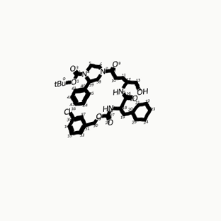 CC(C)(C)OC(=O)N1CCN(C(=O)CCC(CO)NC(=O)C(CC2CCCCC2)NC(=O)OCc2cccc(Cl)c2)CC1c1ccccc1